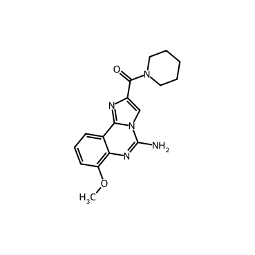 COc1cccc2c1nc(N)n1cc(C(=O)N3CCCCC3)nc21